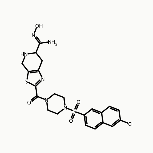 NC(=NO)C1Cc2nc(C(=O)N3CCN(S(=O)(=O)c4ccc5cc(Cl)ccc5c4)CC3)sc2CN1